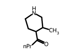 CCCC(=O)C1CCNCC1C